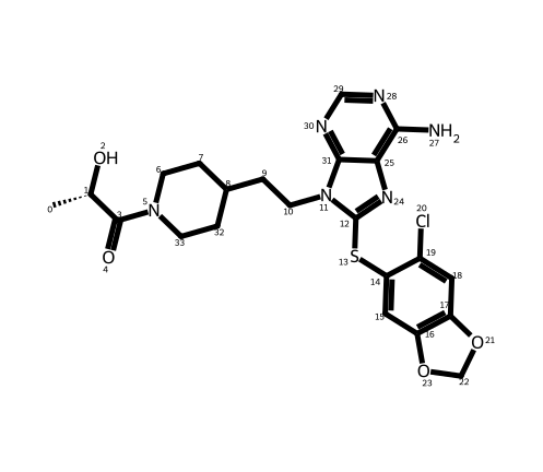 C[C@H](O)C(=O)N1CCC(CCn2c(Sc3cc4c(cc3Cl)OCO4)nc3c(N)ncnc32)CC1